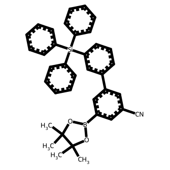 CC1(C)OB(c2cc(C#N)cc(-c3cccc([Si](c4ccccc4)(c4ccccc4)c4ccccc4)c3)c2)OC1(C)C